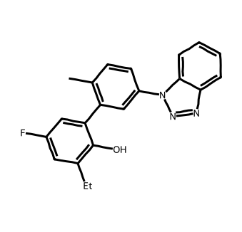 CCc1cc(F)cc(-c2cc(-n3nnc4ccccc43)ccc2C)c1O